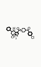 O=C(c1ccc(Cl)cc1)C1CCN(C(=O)c2cnn3c2NC(c2ccccc2)CC3C(F)(F)F)CC1